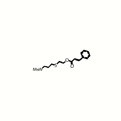 CNCCCSCCOC(=O)/C=C/c1ccccc1